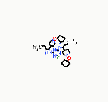 CCCC(Nc1nc(Cl)nc(NC(CCC)C2CCN(OC3CCCCC3)CC2)n1)C1CCN(OC2CCCCC2)CC1